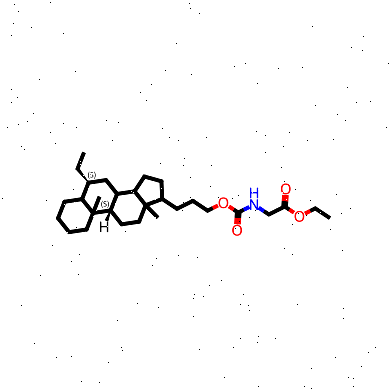 CCOC(=O)CNC(=O)OCCCC1CCC2C3C[C@H](CC)C4CCCCC4(C)[C@H]3CCC12C